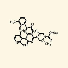 Cc1cccc(-c2nc3c(cc2Cl)c(N2C[C@@H](C)N(C(=O)OC(C)(C)C)C[C@@H]2C)nc(=O)n3-c2c(C)ccnc2C(C)C)c1F